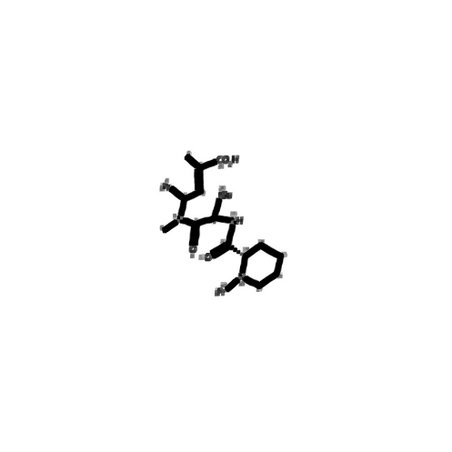 C/C(=C\C(C(C)C)N(C)C(=O)C(NC(=O)[C@@H]1CCCCN1C(C)C)C(C)(C)C)C(=O)O